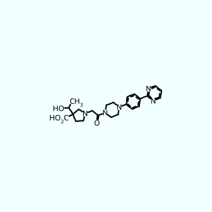 CC(O)C1(C(=O)O)CCN(CC(=O)N2CCN(c3ccc(-c4ncccn4)cc3)CC2)C1